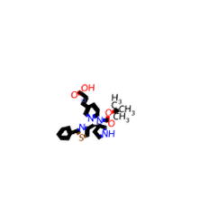 CC(C)(C)OC(=O)N(c1ccc(/C=C/C(=O)O)cn1)[C@@]1(Cc2csc(-c3ccccc3)n2)CCNC1